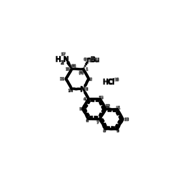 CCCC[C@@H]1CN(c2ccc3ccccc3c2)CC[C@H]1N.Cl